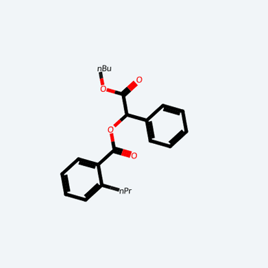 CCCCOC(=O)C(OC(=O)c1ccccc1CCC)c1ccccc1